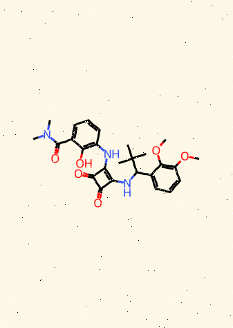 COc1cccc(C(Nc2c(Nc3cccc(C(=O)N(C)C)c3O)c(=O)c2=O)C(C)(C)C)c1OC